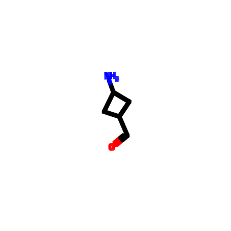 NC1CC(C=O)C1